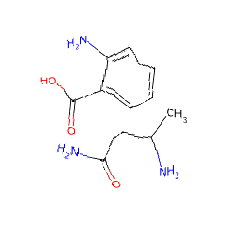 CC(N)CC(N)=O.Nc1ccccc1C(=O)O